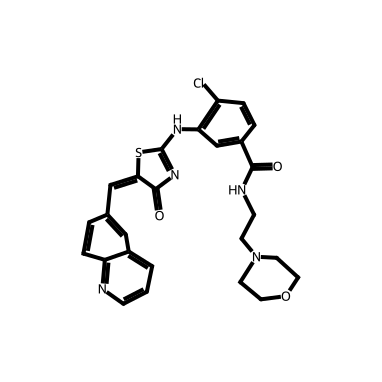 O=C1N=C(Nc2cc(C(=O)NCCN3CCOCC3)ccc2Cl)SC1=Cc1ccc2ncccc2c1